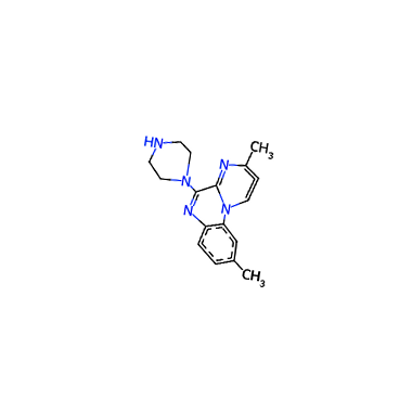 CC1=C=CN2C(=N1)C(N1CCNCC1)=Nc1ccc(C)cc12